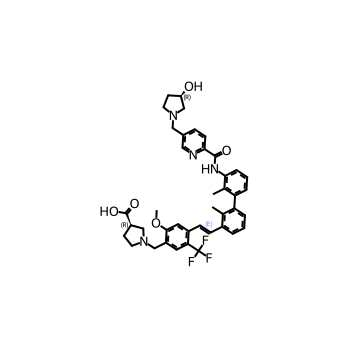 COc1cc(/C=C/c2cccc(-c3cccc(NC(=O)c4ccc(CN5CC[C@@H](O)C5)cn4)c3C)c2C)c(C(F)(F)F)cc1CN1CC[C@@H](C(=O)O)C1